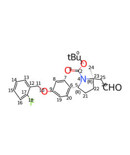 CC(C)(C)OC(=O)N1[C@@H](c2ccc(OCc3ccccc3F)cc2)CC[C@]1(C)CC=O